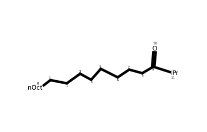 CCCCCCCCCCCCCCCCC(=O)C(C)C